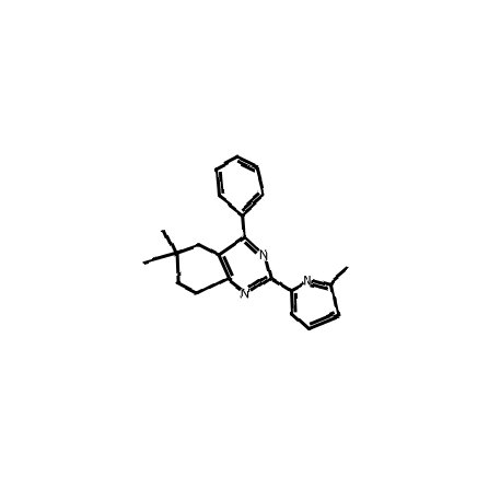 Cc1cccc(-c2nc3c(c(-c4ccccc4)n2)CC(C)(C)CC3)n1